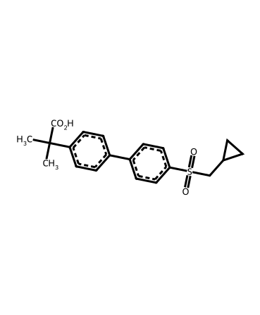 CC(C)(C(=O)O)c1ccc(-c2ccc(S(=O)(=O)CC3CC3)cc2)cc1